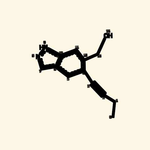 CCC#Cc1cc2cn[nH]c2cc1CO